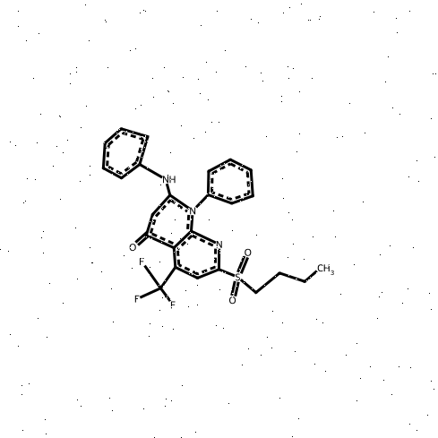 CCCCS(=O)(=O)c1cc(C(F)(F)F)c2c(=O)cc(Nc3ccccc3)n(-c3ccccc3)c2n1